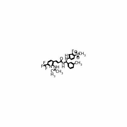 Cc1cccc(C(NC(=O)C=Cc2ccc(C(F)(F)F)nc2NC(C)C)Nc2ccc(S(C)(=O)=O)c(F)c2)c1